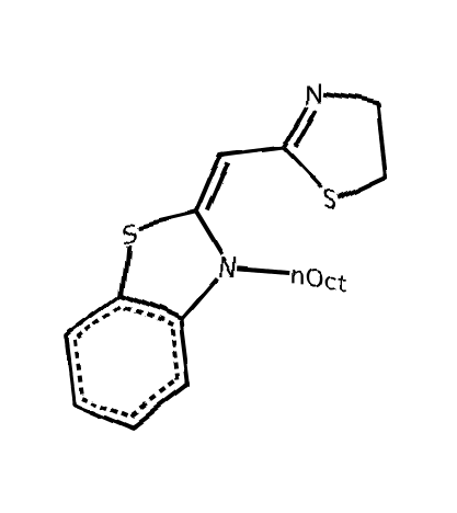 CCCCCCCCN1C(=CC2=NCCS2)Sc2ccccc21